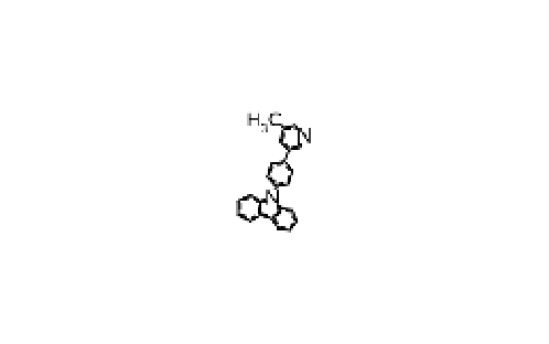 Cc1cncc(-c2ccc(-n3c4ccccc4c4ccccc43)cc2)c1